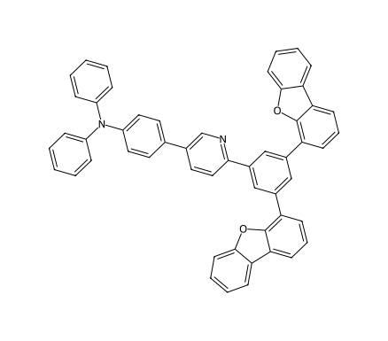 c1ccc(N(c2ccccc2)c2ccc(-c3ccc(-c4cc(-c5cccc6c5oc5ccccc56)cc(-c5cccc6c5oc5ccccc56)c4)nc3)cc2)cc1